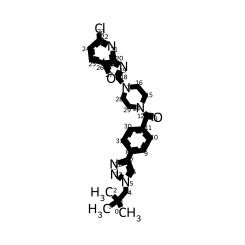 CC(C)(C)Cn1cc(-c2ccc(C(=O)N3CCN(c4nc5nc(Cl)ccc5o4)CC3)cc2)nn1